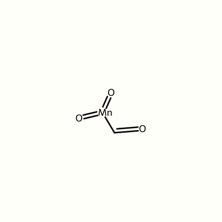 O=[CH][Mn](=[O])=[O]